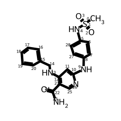 CS(=O)(=O)Nc1ccc(Nc2cc(NCc3ccccc3)c(C(N)=O)cn2)cc1